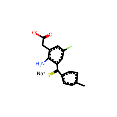 Cc1ccc(C(=S)c2cc(F)cc(CC(=O)[O-])c2N)cc1.[Na+]